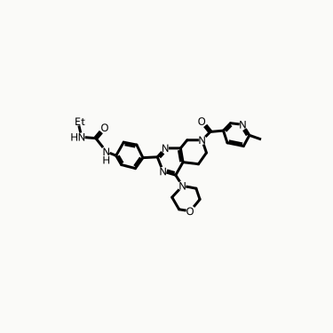 CCNC(=O)Nc1ccc(-c2nc3c(c(N4CCOCC4)n2)CCN(C(=O)c2ccc(C)nc2)C3)cc1